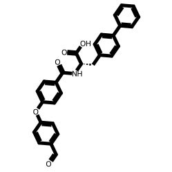 O=Cc1ccc(Oc2ccc(C(=O)N[C@@H](Cc3ccc(-c4ccccc4)cc3)C(=O)O)cc2)cc1